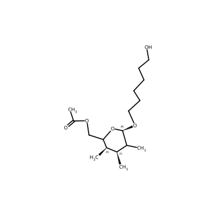 CC(=O)OCC1O[C@@H](OCCCCCCO)C(C)[C@@H](C)[C@H]1C